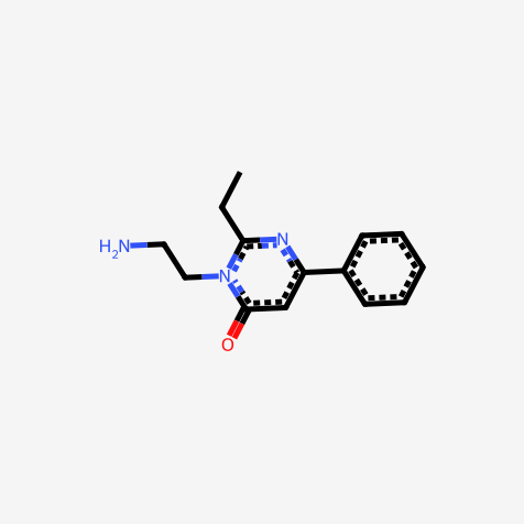 CCc1nc(-c2ccccc2)cc(=O)n1CCN